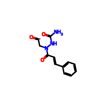 NC(=O)NN(C[C]=O)C(=O)C=Cc1ccccc1